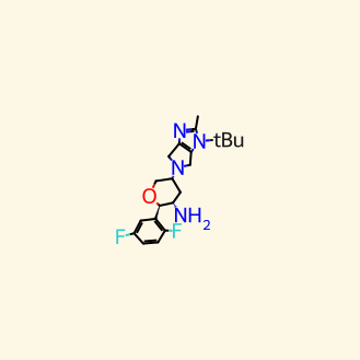 Cc1nc2c(n1C(C)(C)C)CN([C@H]1CO[C@H](c3cc(F)ccc3F)[C@@H](N)C1)C2